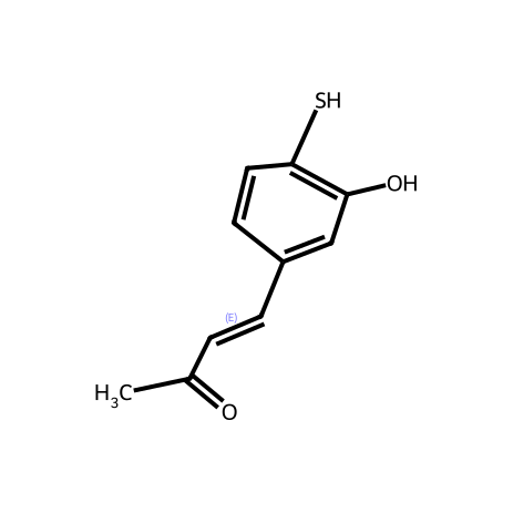 CC(=O)/C=C/c1ccc(S)c(O)c1